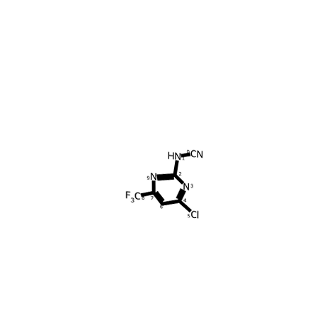 N#CNc1nc(Cl)cc(C(F)(F)F)n1